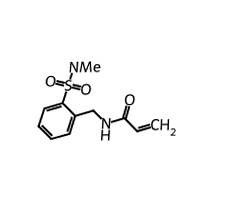 C=CC(=O)NCc1ccccc1S(=O)(=O)NC